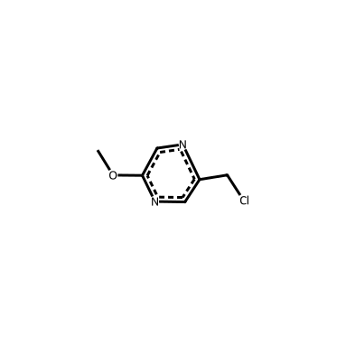 COc1cnc(CCl)cn1